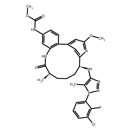 COC(=O)Nc1ccc2c(c1)NC(=O)[C@H](C)CCC[C@H](Nc1nnn(-c3cccc(Cl)c3F)c1C)c1cc-2cc(OC)n1